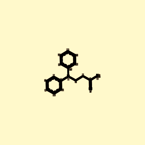 CCC(=O)CCP(c1ccccc1)c1ccccc1